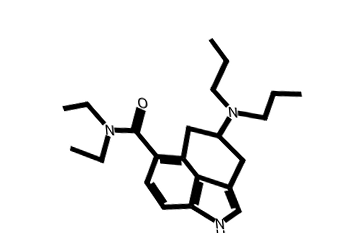 CCCN(CCC)C1Cc2c[nH]c3ccc(C(=O)N(CC)CC)c(c23)C1